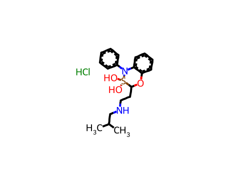 CC(C)CNCCC1Oc2ccccc2N(c2ccccc2)S1(O)O.Cl